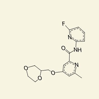 Cc1cc(OCC2COCCO2)cc(C(=O)Nc2cccc(F)n2)n1